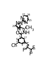 C[C@H](NC(=O)c1cc(Cl)cc(SC(F)C(F)F)c1)c1ncnn1-c1ncccn1